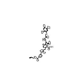 C=CCOC(=O)N1CC[C@H](N2CCC(=CC3=C(C(=O)O)N4C(=O)C(NC(=O)CSc5cc(Cl)c(Cl)cc5Cl)C4SC3)C2=O)C1